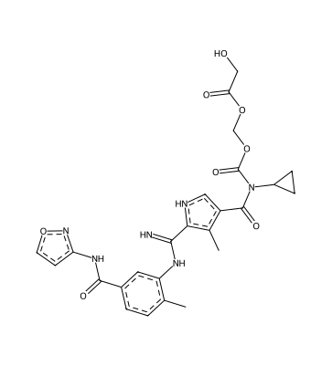 Cc1ccc(C(=O)Nc2ccon2)cc1NC(=N)c1[nH]cc(C(=O)N(C(=O)OCOC(=O)CO)C2CC2)c1C